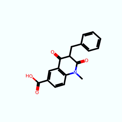 CN1C(=O)C(Cc2ccccc2)C(=O)c2cc(C(=O)O)ccc21